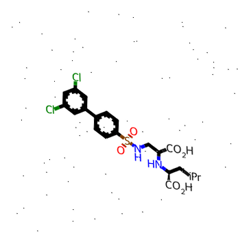 CC(C)C[C@H](NC(CNS(=O)(=O)c1ccc(-c2cc(Cl)cc(Cl)c2)cc1)C(=O)O)C(=O)O